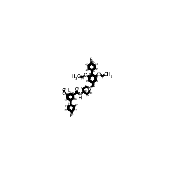 CCOc1cc(CN2CCC(NC(=O)c3cc(OC)cc(-c4ccc(F)cc4)c3)CC2)cc(OCC)c1-c1ccc(F)cc1